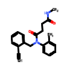 C#Cc1ccccc1CN(C(=O)CCC(=O)NC)c1ccccc1C